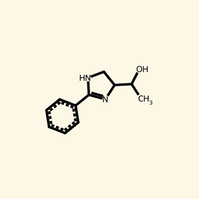 CC(O)C1CNC(c2ccccc2)=N1